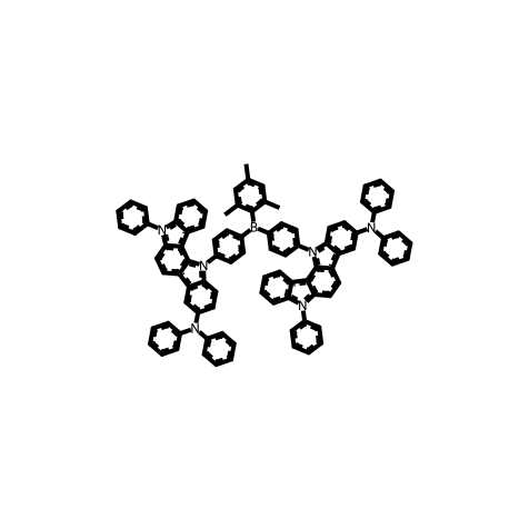 Cc1cc(C)c(B(c2ccc(-n3c4ccc(N(c5ccccc5)c5ccccc5)cc4c4ccc5c(c6ccccc6n5-c5ccccc5)c43)cc2)c2ccc(-n3c4ccc(N(c5ccccc5)c5ccccc5)cc4c4ccc5c(c6ccccc6n5-c5ccccc5)c43)cc2)c(C)c1